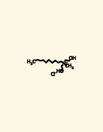 CCCCCCCCCC[N+](C)(CCO)CCO.[Cl-]